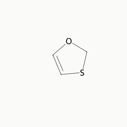 C1=CSCO1